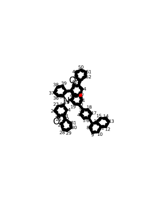 c1cc(-c2ccc(-c3cccc4ccccc34)cc2)cc(N(c2ccc3oc4ccccc4c3c2)c2ccccc2-c2cccc3c2oc2ccccc23)c1